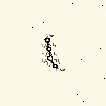 COc1ccc(C(C)(C)C2=CC(C)C=C(C(C)(C)c3ccc(C(C)(C)c4ccc(OC)cc4)cc3)C=C2)cc1